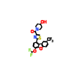 O=C(c1csc(-c2ccc(OC(F)F)c3oc4ccc(C(F)(F)F)cc4c23)n1)N1CCC(O)CC1